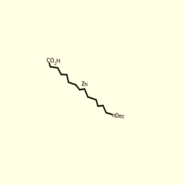 CCCCCCCCCCCCCCCCCCCCCCCC(=O)O.[Zn]